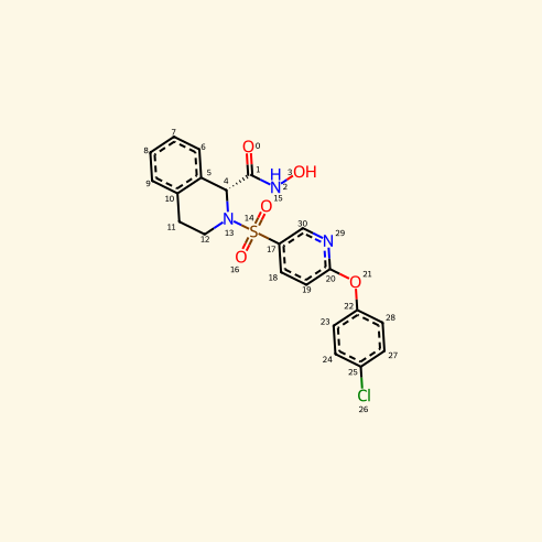 O=C(NO)[C@H]1c2ccccc2CCN1S(=O)(=O)c1ccc(Oc2ccc(Cl)cc2)nc1